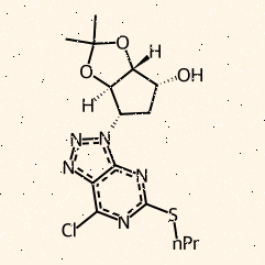 CCCSc1nc(Cl)c2nnn([C@H]3C[C@@H](O)[C@H]4OC(C)(C)O[C@@H]43)c2n1